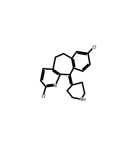 Clc1ccc2c(c1)CCc1ccc(Cl)nc1C2=C1CCNCC1